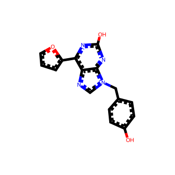 Oc1ccc(Cn2cnc3c(-c4ccco4)nc(O)nc32)cc1